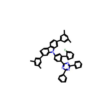 Cc1cc(C)cc(-c2ccc3c4ccc(-c5cc(C)cc(C)c5)cc4n(-c4ccc(-c5nc(-c6ccccc6)nc(-c6ccccc6)n5)c(-c5ccccc5F)c4)c3c2)c1